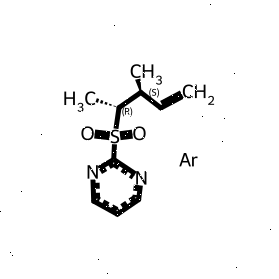 C=C[C@H](C)[C@@H](C)S(=O)(=O)c1ncccn1.[Ar]